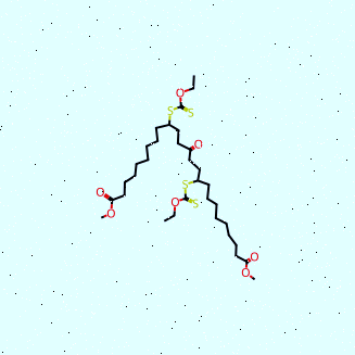 CCOC(=S)SC(CCCCCCCCC(=O)OC)CCC(=O)CCC(CCCCCCCCC(=O)OC)SC(=S)OCC